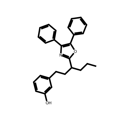 CCCC(CCc1cccc(O)c1)c1nc(-c2ccccc2)c(-c2ccccc2)o1